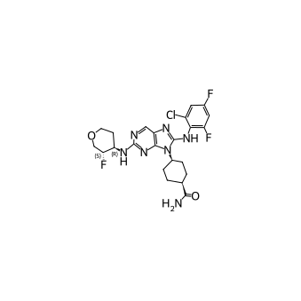 NC(=O)[C@H]1CC[C@@H](n2c(Nc3c(F)cc(F)cc3Cl)nc3cnc(N[C@@H]4CCOC[C@H]4F)nc32)CC1